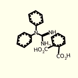 N=C(N)N(c1ccccc1)c1ccccc1.O=C(O)c1ccccc1C(=O)O